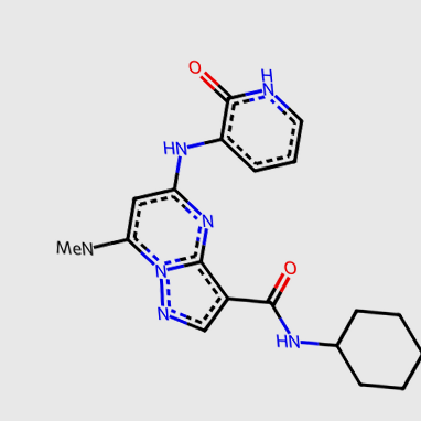 CNc1cc(Nc2ccc[nH]c2=O)nc2c(C(=O)NC3CCCCC3)cnn12